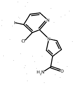 NC(=O)c1ccn(-c2nccc(I)c2Cl)c1